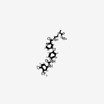 CC(OCCNC(=O)c1cc(Oc2ccc(NC(=O)Nc3ccc(Cl)c(C(F)(F)F)c3)cc2)ccn1)C(=O)OC(C)(C)C